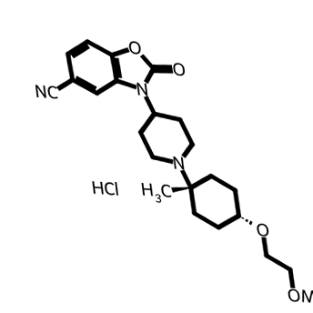 COCCO[C@H]1CC[C@@](C)(N2CCC(n3c(=O)oc4ccc(C#N)cc43)CC2)CC1.Cl